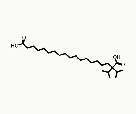 CC(C)C(CCCCCCCCCCCCCCCCC(=O)O)(C(=O)O)C(C)C